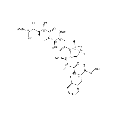 CC[C@H](C)[C@@H]([C@@H](CC(=O)N1[C@H]2C[C@H]2C[C@H]1[C@H](OC)[C@@H](C)C(=O)N[C@@H](Cc1ccccc1F)C(=O)OC(C)(C)C)OC)N(C)C(=O)[C@@H](NC(=O)[C@@H](NC)C(C)C)C(C)C